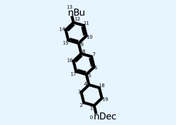 CCCCCCCCCCC1CCC(c2ccc(-c3ccc(CCCC)cc3)cc2)CC1